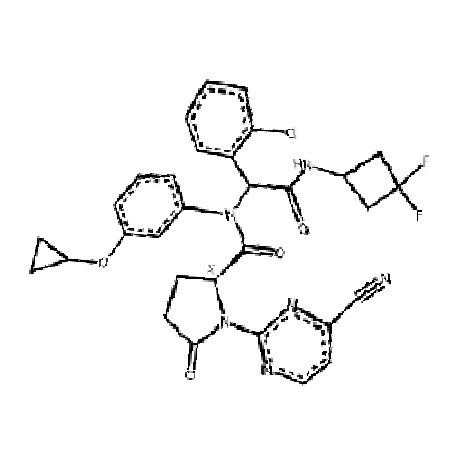 N#Cc1ccnc(N2C(=O)CC[C@H]2C(=O)N(c2cccc(OC3CC3)c2)C(C(=O)NC2CC(F)(F)C2)c2ccccc2Cl)n1